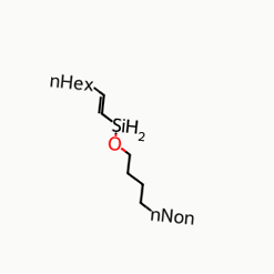 CCCCCCC=C[SiH2]OCCCCCCCCCCCCC